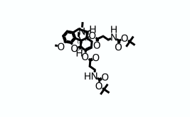 COc1ccc2c3c1O[C@H]1C(OC(=O)CCNC(=O)OC(C)(C)C)=CC[C@@]4(OC(=O)CCNC(=O)OC(C)(C)C)[C@@H](C2)N(C)CC[C@]314